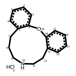 Cl.c1ccc2c(c1)CCCNCCc1ccccc1O2